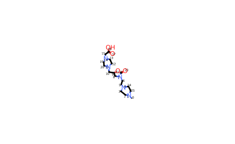 CN1CCN(CCN2CC(CN3CCN(CC(=O)O)CC3)OC2=O)CC1